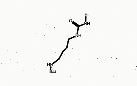 CCCCNCCCCNC(=O)NCC